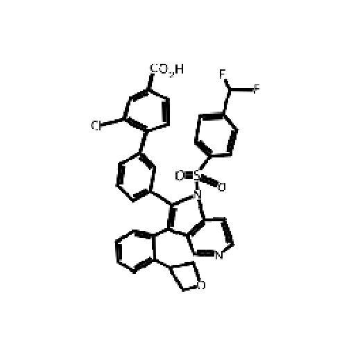 O=C(O)c1ccc(-c2cccc(-c3c(-c4ccccc4C4COC4)c4cnccc4n3S(=O)(=O)c3ccc(C(F)F)cc3)c2)c(Cl)c1